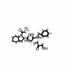 CC(=O)N1C2CCCCC2C[C@H]1C(=O)N[C@@H](CCC(=O)C=N)C(=O)NCc1ccccc1